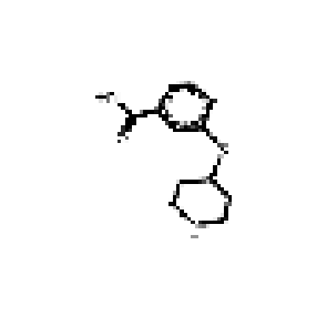 [NH]C(=O)c1cccc(SC2CCNCC2)c1